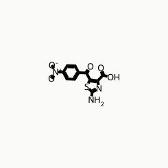 Nc1nc(C(=O)O)c(C(=O)c2ccc([N+](=O)[O-])cc2)s1